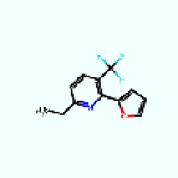 BCc1ccc(C(F)(F)F)c(-c2ccco2)n1